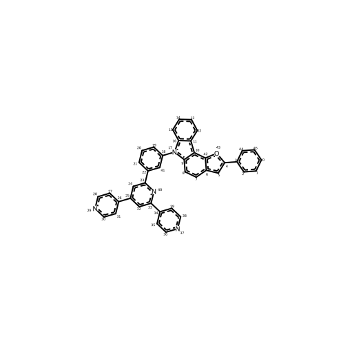 c1ccc(-c2cc3ccc4c(c5ccccc5n4-c4cccc(-c5cc(-c6ccncc6)cc(-c6ccncc6)n5)c4)c3o2)cc1